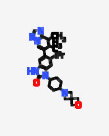 Cc1c(-c2cc3[nH]c(=O)n(C4CCC(N5CC6(COC6)C5)CC4)c3cc2C(C)C)cn2ncnc2c1C